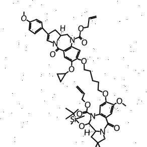 C=CCOC(=O)N1C[C@@H]2CC(c3ccc(OC)cc3)=CN2C(=O)c2cc(OC3CC3)c(OCCCCCOc3cc4c(cc3OC)C(=O)N3CC5(CC5)C[C@H]3C(O[Si](C)(C)C(C)(C)C)N4C(=O)OCC=C)cc21